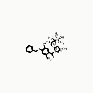 COc1cc(C(=O)N2C[C@H](O)C[C@H]2CCC(C)(C)[Si](C)(C)O)c(N)cc1OCc1ccccc1